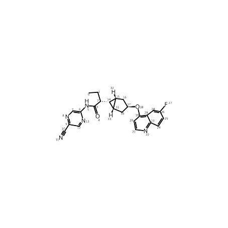 CCC(C(=O)Nc1cnc(C#N)cn1)[C@@H]1[C@@H]2C[C@@H](Oc3ccnc4ccc(F)cc34)C[C@@H]21